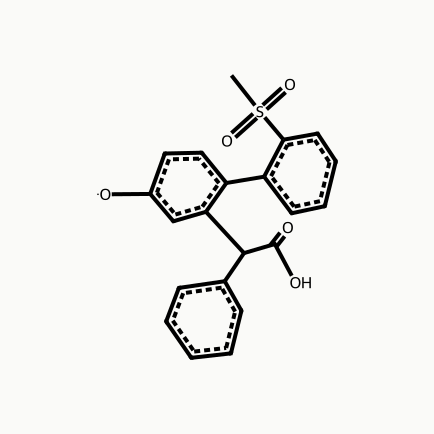 CS(=O)(=O)c1ccccc1-c1ccc([O])cc1C(C(=O)O)c1ccccc1